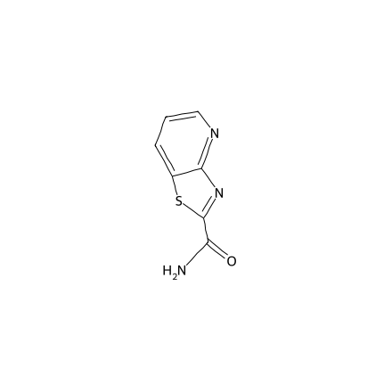 NC(=O)c1nc2ncccc2s1